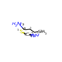 N=C=S.NCCC[SiH3]